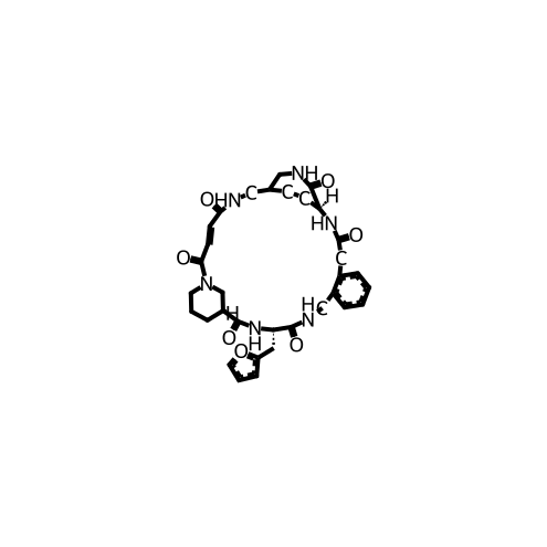 O=C1/C=C/C(=O)N2CCC[C@H](C2)C(=O)N[C@@H](Cc2ccco2)C(=O)NCc2ccccc2CC(=O)N[C@H]2CCC(CN1)CNC2=O